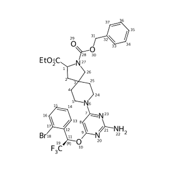 CCOC(=O)C1CC2(CCN(c3cc(O[C@H](c4ccccc4Br)C(F)(F)F)nc(N)n3)CC2)CN1C(=O)OCc1ccccc1